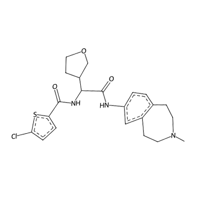 CN1CCc2ccc(NC(=O)C(NC(=O)c3ccc(Cl)s3)C3CCOC3)cc2CC1